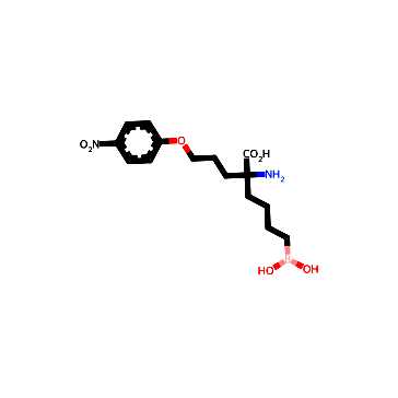 NC(CCCCB(O)O)(CCCOc1ccc([N+](=O)[O-])cc1)C(=O)O